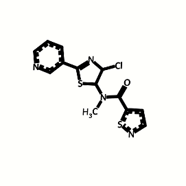 CN(C(=O)c1ccns1)C1SC(c2cccnc2)=NC1Cl